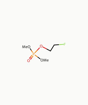 COP(=O)(OC)OCCF